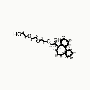 OCCOCCOCCOCC(O)C1CCCc2ccccc2-c2ccccc21